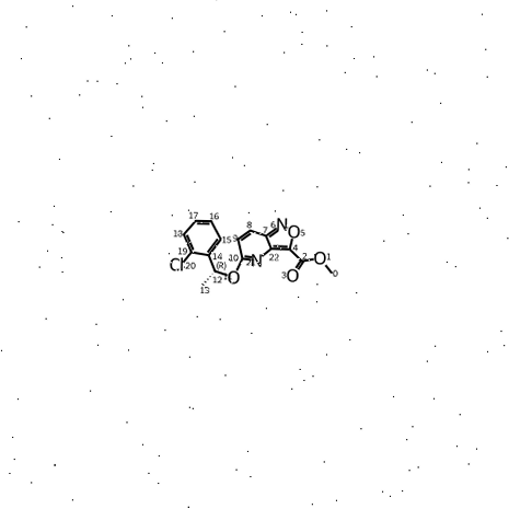 COC(=O)c1onc2ccc(O[C@H](C)c3ccccc3Cl)nc12